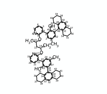 Cc1cc(-c2cccnc2OC(C)C[C@@H](C)Oc2ncccc2-c2cc(C)cc(-c3c4c(cc5c3CCCC5)CCCC4)c2O)c(O)c(-c2c3c(cc4c2CCCC4)CCCC3)c1